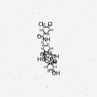 O=C(NCc1ccc(CC(Oc2ccc(O)cc2)(P(=O)(O)O)P(=O)(O)O)cc1)c1ccc(Cl)c(Cl)c1